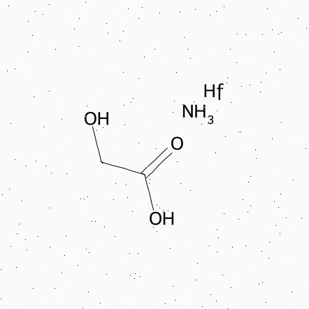 N.O=C(O)CO.[Hf]